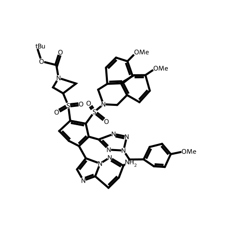 COc1ccc(CN(Cc2ccc(OC)cc2)S(=O)(=O)c2c(S(=O)(=O)C3CN(C(=O)OC(C)(C)C)C3)ccc(-c3cnc4ccc(N)nn34)c2-c2nnn(Cc3ccc(OC)cc3)n2)cc1